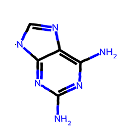 Nc1nc(N)c2c(n1)[N]C=N2